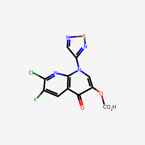 O=C(O)Oc1cn(-c2cnsn2)c2nc(Cl)c(F)cc2c1=O